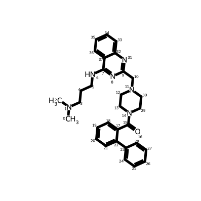 CN(C)CCCNc1nc(CN2CCN(C(=O)c3ccccc3-c3ccccc3)CC2)nc2ccccc12